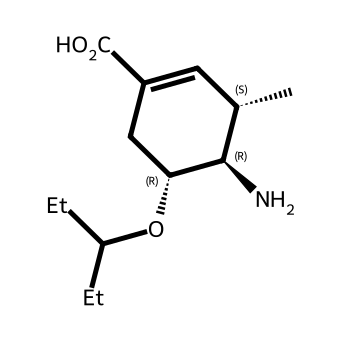 CCC(CC)O[C@@H]1CC(C(=O)O)=C[C@H](C)[C@H]1N